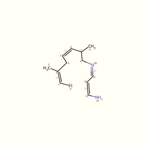 CC/C=C(/C)C/C=C\C(C)C/N=C\C=C/N